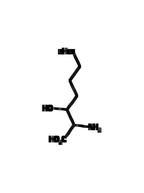 CCCCCCCCCC(O)C(N)C(=O)O